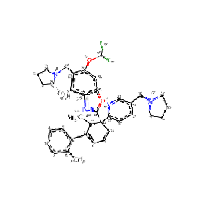 Cc1ccccc1C1=CC=CC(c2ccc(CN3CCCC3)cn2)(c2nc3cc(CN4CCC[C@H]4C(=O)O)c(OC(F)F)cc3o2)C1C